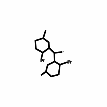 [CH2]C(C1CC(C)CCC1C(C)C)C1CC(C)CCC1C(C)C